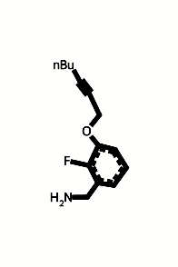 CCCCC#CCOc1cccc(CN)c1F